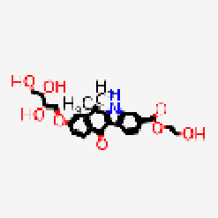 CC1(C)c2cc(OCC(O)C(O)CO)ccc2C(=O)c2c1[nH]c1cc(C(=O)OCCO)ccc21